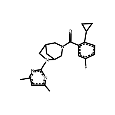 Cc1cc(C)nc(N2CC3CC2CN(C(=O)c2cc(F)ccc2C2CC2)C3)n1